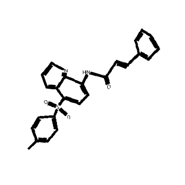 Cc1ccc(S(=O)(=O)c2ccc(NC(=O)C=Cc3ccccc3)c3ncccc23)cc1